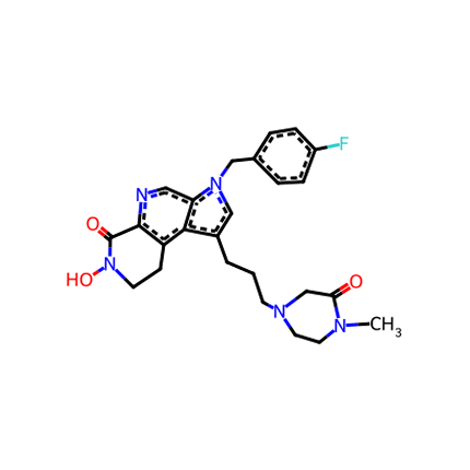 CN1CCN(CCCc2cn(Cc3ccc(F)cc3)c3cnc4c(c23)CCN(O)C4=O)CC1=O